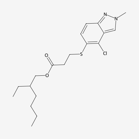 CCCCC(CC)COC(=O)CCSc1ccc2nn(C)cc2c1Cl